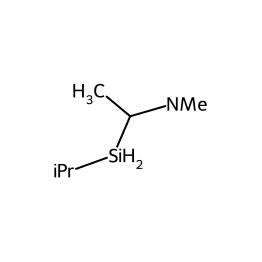 CNC(C)[SiH2]C(C)C